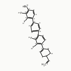 C=CC1CC=C(c2ccc(-c3ccc(-c4ccc(CCCC)c(F)c4F)cc3)c(F)c2F)CC1